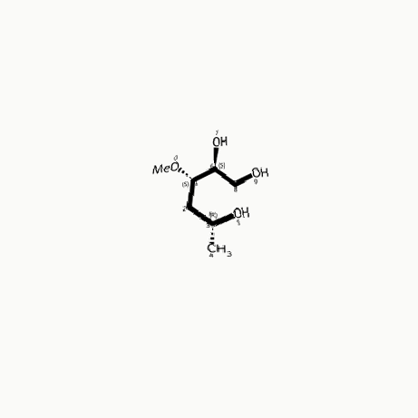 CO[C@@H](C[C@@H](C)O)[C@@H](O)CO